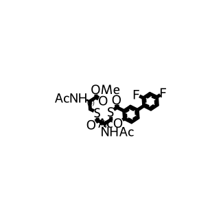 COC(=O)[C@@H](CSC(=O)[C@@H](CSC(=O)c1cc(-c2ccc(F)cc2F)ccc1OC(C)=O)NC(C)=O)NC(C)=O